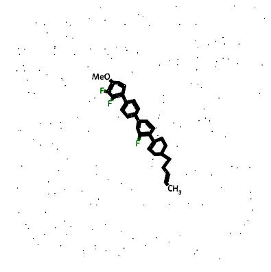 C/C=C/CCC1CC=C(c2ccc(-c3ccc(-c4ccc(OC)c(F)c4F)cc3)cc2F)CC1